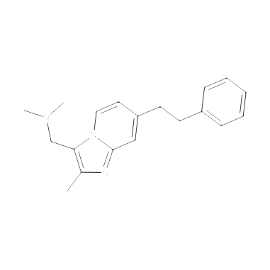 Cc1nc2cc(CCc3ccccc3)ccn2c1CN(C)C